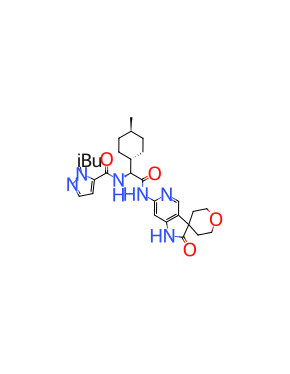 CCC(C)n1nccc1C(=O)N[C@H](C(=O)Nc1cc2c(cn1)C1(CCOCC1)C(=O)N2)[C@H]1CC[C@H](C)CC1